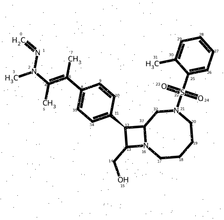 C=NN(C)/C(C)=C(\C)c1ccc([C@@H]2C(CO)N3CCCCN(S(=O)(=O)c4ccccc4C)CC23)cc1